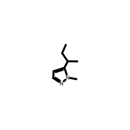 CCC(C)c1c[c]nn1C